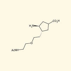 CC(=O)NCCOCC[C@H]1CC(C(=O)O)C[C@@H]1N